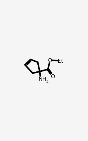 CCOC(=O)C1(N)CC=CC1